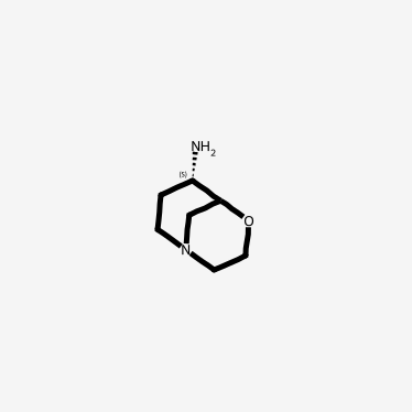 N[C@H]1CCN2CCOC1C2